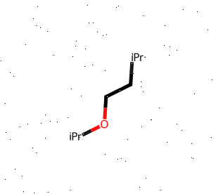 C[C](C)CCOC(C)C